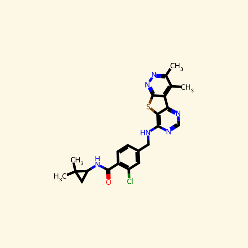 Cc1nnc2sc3c(NCc4ccc(C(=O)NC5CC5(C)C)c(Cl)c4)ncnc3c2c1C